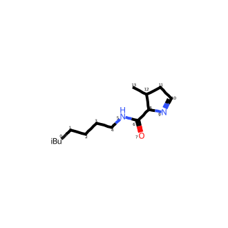 CCC(C)CCCCNC(=O)C1N=CCC1C